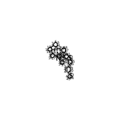 CC1(C)c2ccccc2-c2cccc(-c3cccc(C4=NC(c5ccccc5-c5cccc6sc7ccc(C8=CC=C(C9=S=CC=C9)CCC8)cc7c56)=NC(c5ccccc5)N4)c3)c21